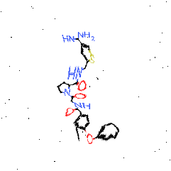 Cc1cc(C(=O)NCC(=O)N2CCC[C@H]2C(=O)NCc2cc(C(=N)N)cs2)ccc1Oc1ccccc1